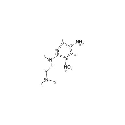 CN(C)CCN(C)c1ccc(N)cc1[N+](=O)[O-]